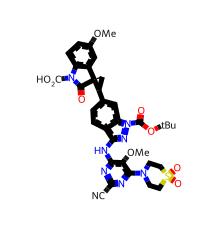 COc1ccc2c(c1)[C@]1(CC1c1ccc3c(Nc4nc(C#N)nc(N5CCS(=O)(=O)CC5)c4OC)nn(C(=O)OC(C)(C)C)c3c1)C(=O)N2C(=O)O